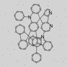 c1ccc(-c2ccc3c(c2)C2(c4ccccc4-c4ccccc42)c2cc4c(cc2-3)C2(c3ccccc3N4c3ccccc3)c3cccnc3-c3ncc(-n4c5ccccc5c5ccccc54)cc32)cc1